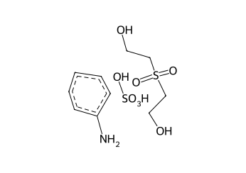 Nc1ccccc1.O=S(=O)(CCO)CCO.O=S(=O)(O)O